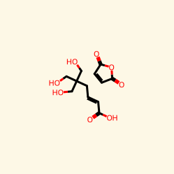 O=C(O)C=CCC(CO)(CO)CO.O=C1C=CC(=O)O1